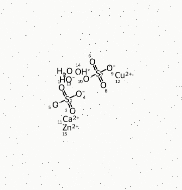 O.O=S(=O)([O-])[O-].O=S(=O)([O-])[O-].[Ca+2].[Cu+2].[OH-].[OH-].[Zn+2]